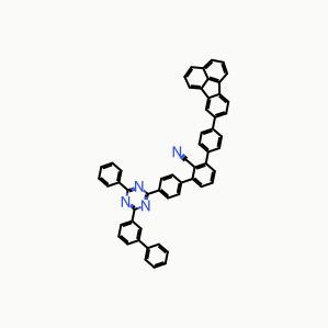 N#Cc1c(-c2ccc(-c3ccc4c(c3)-c3cccc5cccc-4c35)cc2)cccc1-c1ccc(-c2nc(-c3ccccc3)nc(-c3cccc(-c4ccccc4)c3)n2)cc1